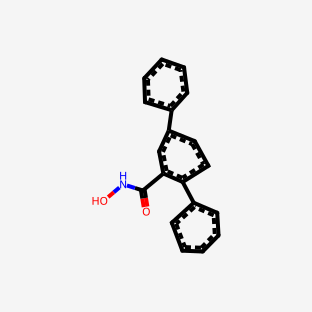 O=C(NO)c1cc(-c2ccccc2)ccc1-c1ccccc1